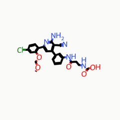 COCOc1cc(Cl)ccc1-c1cc(-c2cccc(NC(=O)CCNC(=O)O)c2)c(C#N)c(N)n1